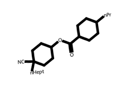 CCCCCCCC1(C#N)CCC(OC(=O)C2CCC(CCC)CC2)CC1